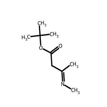 C/N=C(\C)CC(=O)OC(C)(C)C